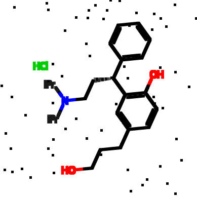 CC(C)N(CC[C@H](c1ccccc1)c1cc(CCCO)ccc1O)C(C)C.Cl